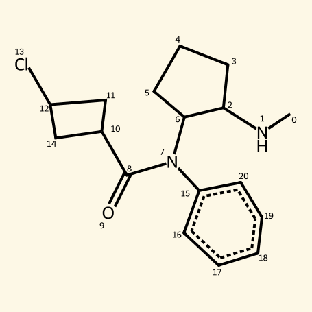 CNC1CCCC1N(C(=O)C1CC(Cl)C1)c1ccccc1